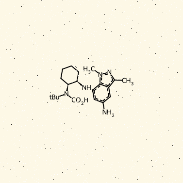 CC(C)(C)N(C(=O)O)[C@H]1CCCC[C@H]1N.Cc1nn(C)c2ccc(N)cc12